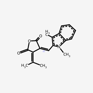 CC(C)=C1C(=O)OC(=O)/C1=C\c1c(C)c2ccccc2n1C